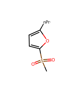 CC[CH]c1ccc(S(C)(=O)=O)o1